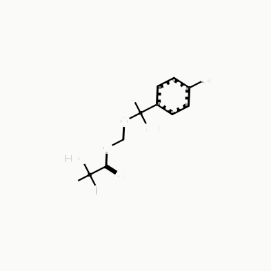 CCC(C)(C)C(=O)OCOC(C)(C)c1ccc(Br)cc1